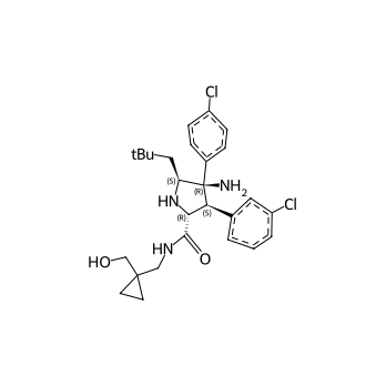 CC(C)(C)C[C@@H]1N[C@@H](C(=O)NCC2(CO)CC2)[C@H](c2cccc(Cl)c2)[C@@]1(N)c1ccc(Cl)cc1